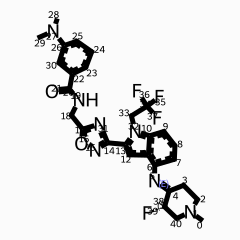 CN1CC/C(=N\c2cccc3c2cc(-c2noc(CNC(=O)c4cccc(N(C)C)c4)n2)n3CC(F)(F)F)[C@@H](F)C1